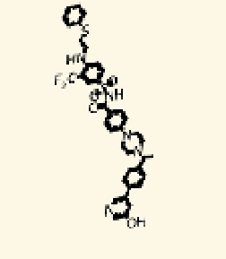 CC(c1ccc(-c2cncc(O)c2)cc1)N1CCN(c2ccc(C(=O)NS(=O)(=O)c3ccc(NCCSc4ccccc4)c(C(F)(F)F)c3)cc2)CC1